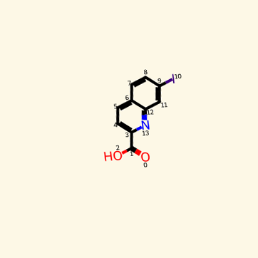 O=C(O)c1ccc2ccc(I)cc2n1